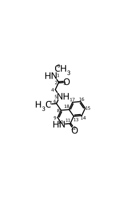 CNC(=O)CNC(C)c1c[nH]c(=O)c2ccccc12